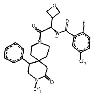 CN1CC(c2ccccc2)C2(CCN(C(=O)[C@H](NC(=O)c3cc(C(F)(F)F)ccc3F)C3COC3)CC2)CC1=O